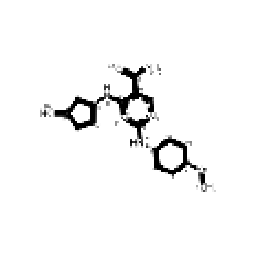 CO[C@H]1CC[C@H](Nc2ncc(C(N)=O)c(N[C@H]3CCC(O)C3)n2)CC1